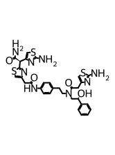 NC(=O)[C@@H](c1csc(N)n1)c1nc(CC(=O)Nc2ccc(CCN(C[C@H](O)c3ccccc3)C(=O)Cc3csc(N)n3)cc2)cs1